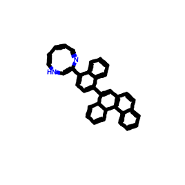 C1=CC2C(c3ccc(-c4c[nH]cccccn4)c4ccccc34)=Cc3ccc4ccccc4c3C2C=C1